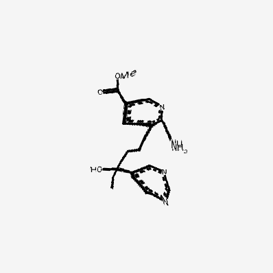 COC(=O)c1cnc(N)c(CCC(C)(O)c2cncnc2)c1